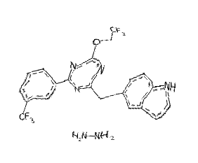 FC(F)(F)COc1nc(Cc2ccc3[nH]ccc3c2)nc(-c2cccc(C(F)(F)F)c2)n1.NN